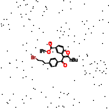 CCCCc1oc2ccc(C(=O)OC(C)C)cc2c1C(=O)c1ccc(CCCBr)cc1